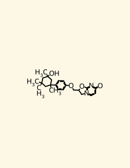 CC1(C)CC(C)(O)CC(C)(c2ccc(OCC3Cn4ccc(=O)nc4O3)cc2)C1